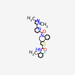 Cc1cc(-c2cccc(C(=O)N3CCc4cc(C(=O)Nc5c(C)cccc5F)sc4-c4ccccc43)n2)n(C)n1